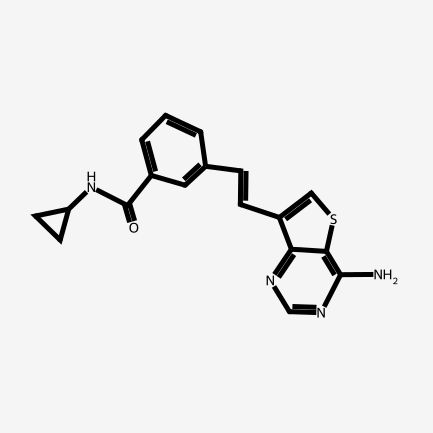 Nc1ncnc2c(C=Cc3cccc(C(=O)NC4CC4)c3)csc12